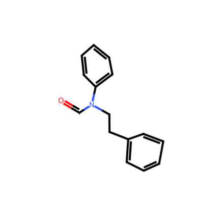 O=[C]N(CCc1ccccc1)c1ccccc1